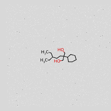 CCC(CC)CCC(CO)(CO)C1CCCCC1